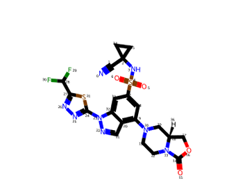 N#CC1(NS(=O)(=O)c2cc(N3CCN4C(=O)OC[C@H]4C3)c3cnn(-c4nnc(C(F)F)s4)c3c2)CC1